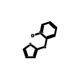 [O-][n+]1ccccc1Sc1cccs1